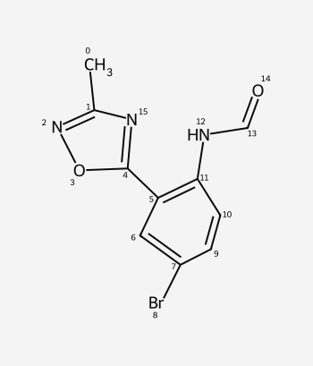 Cc1noc(-c2cc(Br)ccc2NC=O)n1